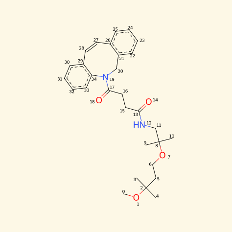 COC(C)(C)CCOC(C)(C)CNC(=O)CCC(=O)N1Cc2ccccc2/C=C\c2ccccc21